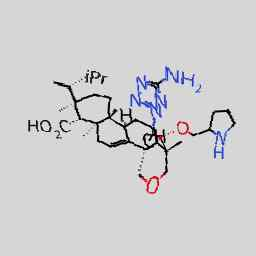 CC(C)[C@@H](C)[C@@]1(C)CC[C@]2(C)[C@H]3CC[C@@H]4[C@@]5(COC[C@@]4(C)[C@@H](OCC4CCCN4)[C@H](n4nnc(N)n4)C5)C3=CC[C@@]2(C)[C@@H]1C(=O)O